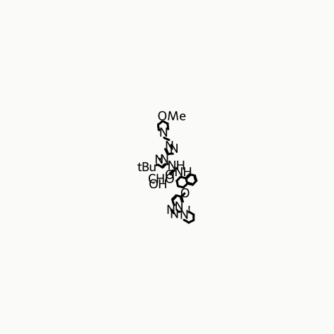 COC1CCN(CCn2cc(-n3nc(C(C)(C)C)cc3NC(=O)N[C@H]3CC[C@@H](Oc4ccc5nnc(N6CCCC[C@@H]6C)n5c4)c4ccccc43)cn2)CC1.O=CO